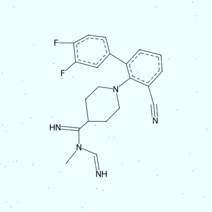 CN(C=N)C(=N)C1CCN(c2c(C#N)cccc2-c2ccc(F)c(F)c2)CC1